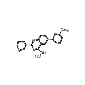 COc1cccc(-c2ccc3nc(-c4cccnc4)nc(NC(C)(C)C)c3c2)c1